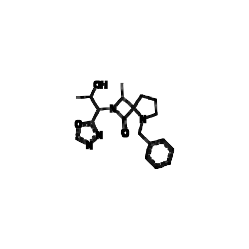 CC(O)C(c1nnco1)N1C(=O)C2(CCCN2Cc2ccccc2)C1C